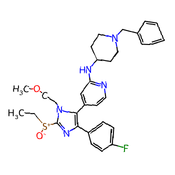 CC[S+]([O-])c1nc(-c2ccc(F)cc2)c(-c2ccnc(NC3CCN(Cc4ccccc4)CC3)c2)n1CCOC